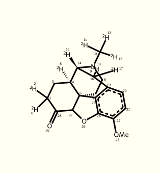 [2H]C1([2H])C[C@]2([2H])[C@@]34CCN(C([2H])([2H])[2H])[C@]2([2H])C([2H])([2H])c2ccc(OC)c(c23)OC4C1=O